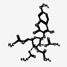 COc1ccc2c(O)c(O[C@@H]3O[C@H](COC(C)=O)[C@@H](OC(C)=O)[C@H](OC(C)=O)[C@H]3OC(C)=O)c(=O)oc2c1